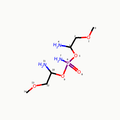 COCC(N)OP(N)(=O)OC(N)COC